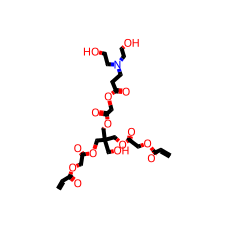 C=CC(=O)OCC(=O)OCC(CO)(COC(=O)COC(=O)C=C)COC(=O)COC(=O)CCN(CCO)CCO